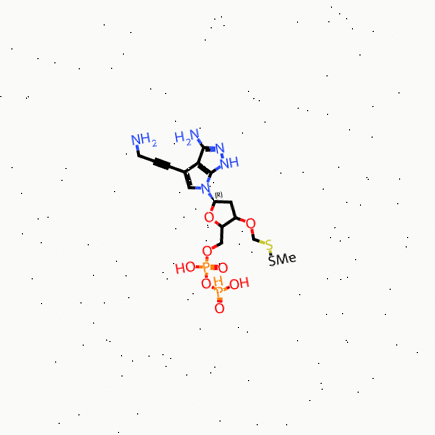 CSSCOC1C[C@H](n2cc(C#CCN)c3c(N)n[nH]c32)OC1COP(=O)(O)O[PH](=O)O